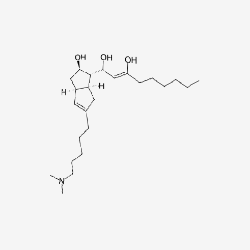 CCCCCCC(O)=CC(O)[C@@H]1[C@H]2CC(CCCCCN(C)C)=C[C@H]2C[C@H]1O